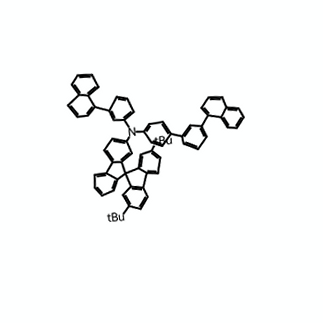 CC(C)(C)c1ccc2c(c1)C1(c3ccccc3-c3ccc(N(c4ccc(-c5cccc(-c6cccc7ccccc67)c5)cc4)c4cccc(-c5cccc6ccccc56)c4)cc31)c1cc(C(C)(C)C)ccc1-2